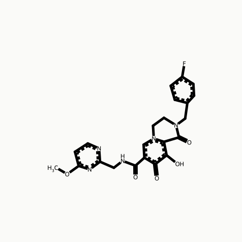 COc1ccnc(CNC(=O)c2cn3c(c(O)c2=O)C(=O)N(Cc2ccc(F)cc2)CC3)n1